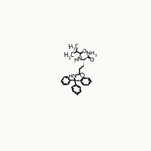 CC(C)C(=O)N[C@@H](CCC(=O)NC(c1ccccc1)(c1ccccc1)c1ccccc1)C(N)=O